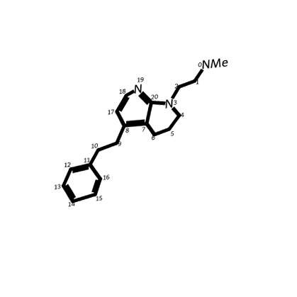 CNCCN1CCCc2c(CCc3ccccc3)ccnc21